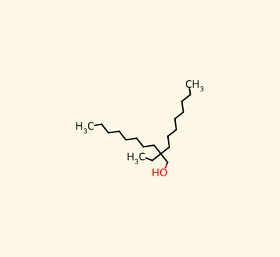 CCCCCCCCC(CC)(CO)CCCCCCCC